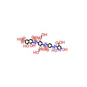 O=C(O)c1cc(O)nc(O)c1/N=N/c1ccc(/N=N/c2cc(OCCO)c(/N=N/c3c(S(=O)(=O)O)cc4cc(S(=O)(=O)O)cc(O)c4c3O)cc2OCCO)c(S(=O)(=O)O)c1